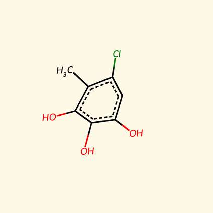 Cc1c(Cl)cc(O)c(O)c1O